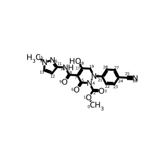 COC(=O)N1C(=O)C(C(=O)Nc2ccn(C)n2)=C(O)CN1c1ccc(C#N)cc1